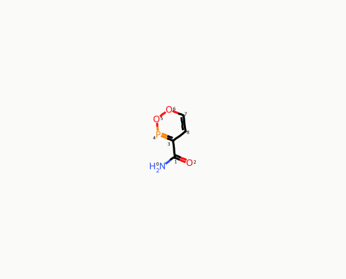 NC(=O)C1=POOC=C1